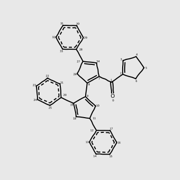 O=C(C1=CCCC1)C1=C(C2=CC(c3ccccc3)C=C2c2ccccc2)CC(c2ccccc2)=C1